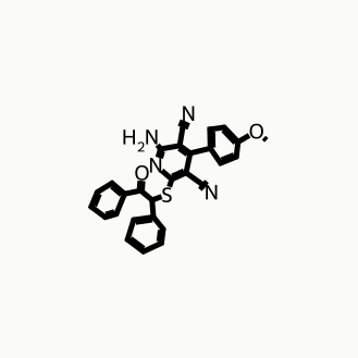 COc1ccc(-c2c(C#N)c(N)nc(SC(C(=O)c3ccccc3)c3ccccc3)c2C#N)cc1